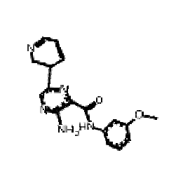 COc1cccc(NC(=O)c2nc(C3C=CC=NC3)cnc2N)c1